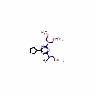 COCN(C)c1nc(C2CCCC2)nc(N(COC)COC)n1